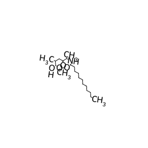 CCCCCCCCCCCC(=O)NC(C)C(=O)CC(C)C(O)OC